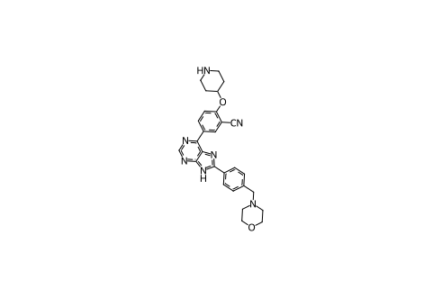 N#Cc1cc(-c2ncnc3[nH]c(-c4ccc(CN5CCOCC5)cc4)nc23)ccc1OC1CCNCC1